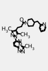 Cc1nn(-c2ccc3nnc(C)n3n2)c(C)c1CCC(=O)N1CCC(Cc2ccccn2)CC1